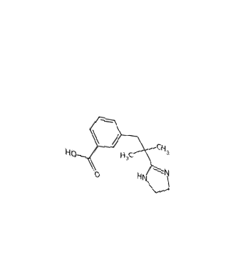 CC(C)(Cc1cccc(C(=O)O)c1)C1=NCCN1